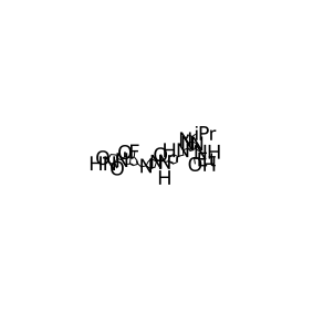 CC[C@@H](CO)Nc1cc(NCc2ccc(NC(=O)N3CCN(Cc4cc(F)c5c(c4)CN(C4CCC(=O)NC4=O)C5=O)CC3)cc2)n2ncc(C(C)C)c2n1